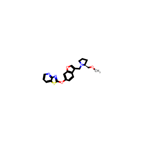 COC[C@@H]1CCCN1Cc1coc2cc(Oc3nc4ncccc4s3)ccc12